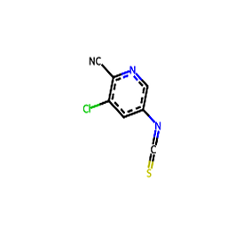 N#Cc1ncc(N=C=S)cc1Cl